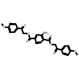 COc1ccc(C(=O)COC(=O)c2ccc(C(=O)OCC(=O)c3ccc(OC)cc3)c(N)c2)cc1